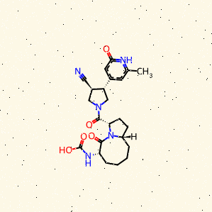 Cc1cc([C@@H]2CN(C(=O)[C@@H]3CC[C@@H]4CCCC[C@H](NC(=O)O)C(=O)N43)C[C@H]2C#N)cc(=O)[nH]1